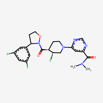 CN(C)C(=O)c1cc(N2CC[C@H](C(=O)N3OCCC3c3cc(F)cc(F)c3)[C@H](F)C2)ncn1